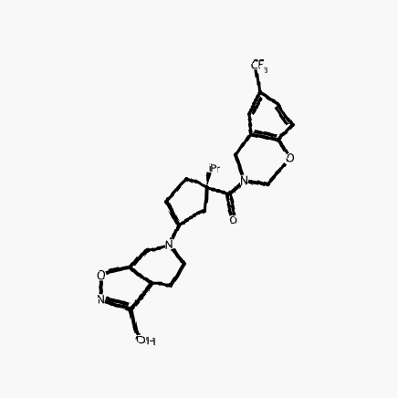 CC(C)[C@]1(C(=O)N2COc3ccc(C(F)(F)F)cc3C2)CCC(N2CCC3C(O)=NOC3C2)C1